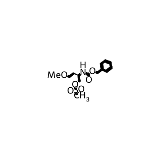 COCC[C@H](COS(C)(=O)=O)NC(=O)OCc1ccccc1